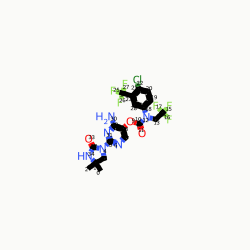 CC1(C)CN(c2ncc(OC(=O)N(CC(F)(F)F)c3ccc(Cl)c(C(F)(F)F)c3)c(N)n2)C(=O)N1